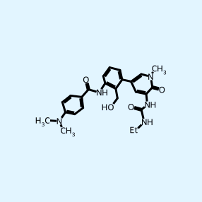 CCNC(=O)Nc1cc(-c2cccc(NC(=O)c3ccc(N(C)C)cc3)c2CO)cn(C)c1=O